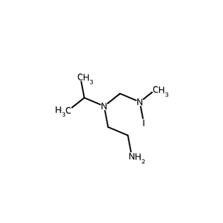 CC(C)N(CCN)CN(C)I